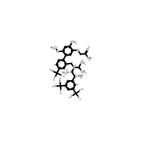 COc1cc(C)c(OCC(=O)O)cc1-c1ccc(C(F)(F)F)cc1CN(C(C)C)[C@@H](C)[C@H](O)c1cc(C(F)(F)F)cc(C(F)(F)F)c1